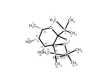 C[C@@H]1OC(I)([Si](C)(C)C)[C@](O[Si](C)(C)C)([Si](C)(C)C)[C@H](O)[C@@H]1O